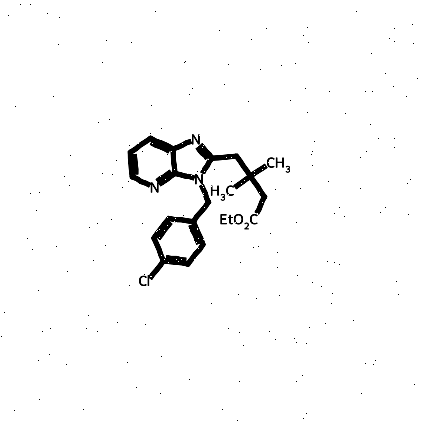 CCOC(=O)CC(C)(C)Cc1nc2cccnc2n1Cc1ccc(Cl)cc1